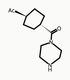 CC(=O)[C@H]1CC[C@H](C(=O)N2CCNCC2)CC1